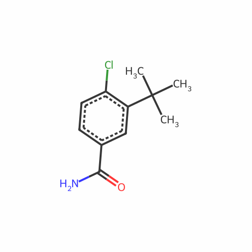 CC(C)(C)c1cc(C(N)=O)ccc1Cl